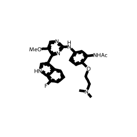 COc1cnc(Nc2ccc(OCCN(C)C)c(NC(C)=O)c2)nc1-c1c[nH]c2c(F)cccc12